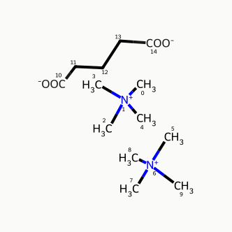 C[N+](C)(C)C.C[N+](C)(C)C.O=C([O-])CCCC(=O)[O-]